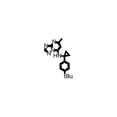 Cc1cc(NC2(c3ccc(C(C)(C)C)cc3)CC2)n2ncnc2n1